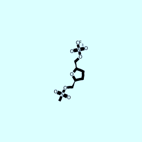 CS(=O)(=O)OC[C@@H]1CC[C@H](COS(=O)(=O)C(F)(F)F)O1